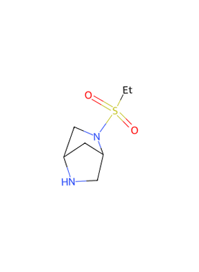 CCS(=O)(=O)N1CC2CC1CN2